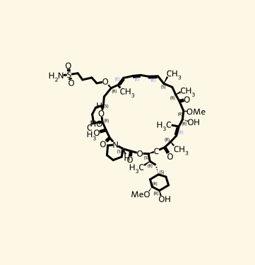 CO[C@@H]1C[C@H](C[C@@H](C)[C@@H]2CC(=O)[C@H](C)/C=C(\C)[C@@H](O)[C@@H](OC)C(=O)[C@H](C)C[C@H](C)/C=C/C=C/C=C(\C)[C@H](OCCCCS(N)(=O)=O)C[C@@H]3CC[C@@H](C)[C@@](O)(O3)C(=O)C(=O)N3CCCC[C@H]3C(=O)O2)CC[C@H]1O